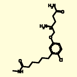 CNC(=O)CCCCCc1cc(OC[C@@H](N)CCC(N)=O)ccc1Cl